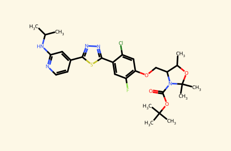 CC(C)Nc1cc(-c2nnc(-c3cc(F)c(OCC4C(C)OC(C)(C)N4C(=O)OC(C)(C)C)cc3Cl)s2)ccn1